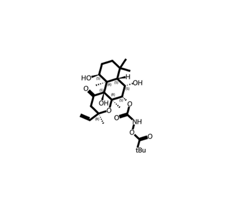 C=C[C@@]1(C)CC(=O)[C@]2(O)[C@@]3(C)[C@@H](O)CCC(C)(C)[C@@H]3[C@H](O)[C@H](OC(=O)NOC(=O)C(C)(C)C)[C@@]2(C)O1